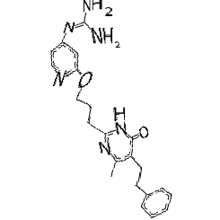 Cc1nc(CCCOc2cc(N=C(N)N)ccn2)[nH]c(=O)c1CCc1ccccc1